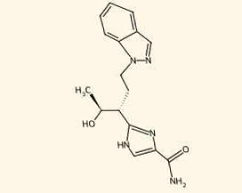 C[C@H](O)[C@H](CCn1ncc2ccccc21)c1nc(C(N)=O)c[nH]1